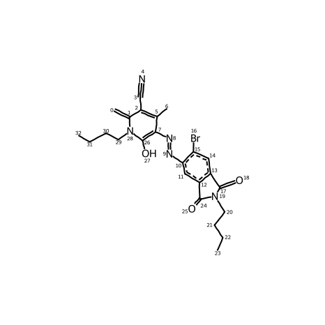 C=C1C(C#N)=C(C)C(N=Nc2cc3c(cc2Br)C(=O)N(CCCC)C3=O)=C(O)N1CCCC